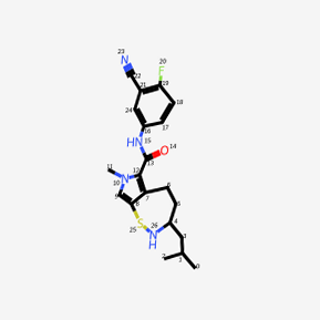 CC(C)CC1CCc2c(cn(C)c2C(=O)Nc2ccc(F)c(C#N)c2)SN1